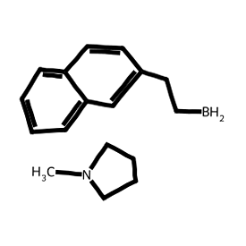 BCCc1ccc2ccccc2c1.CN1CCCC1